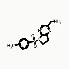 Cc1ccc(S(=O)(=O)N2CCc3nc(CN)cnc32)cc1